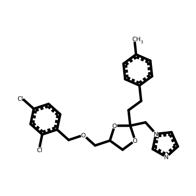 Cc1ccc(CCC2(Cn3ccnc3)OCC(COCc3ccc(Cl)cc3Cl)O2)cc1